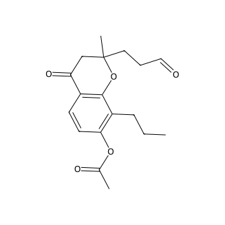 CCCc1c(OC(C)=O)ccc2c1OC(C)(CCC=O)CC2=O